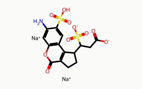 Nc1cc2oc(=O)c3c(c2cc1S(=O)(=O)O)C(C(CC(=O)[O-])S(=O)(=O)[O-])CC3.[Na+].[Na+]